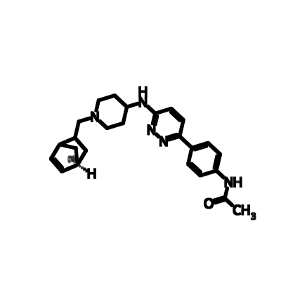 CC(=O)Nc1ccc(-c2ccc(NC3CCN(CC4C[C@H]5C=CC4C5)CC3)nn2)cc1